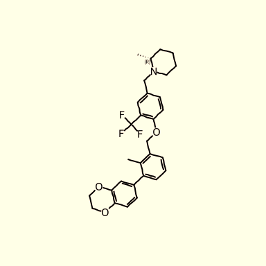 Cc1c(COc2ccc(CN3CCCC[C@H]3C)cc2C(F)(F)F)cccc1-c1ccc2c(c1)OCCO2